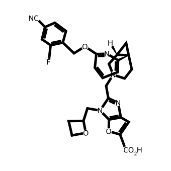 N#Cc1ccc(COc2cccc([C@@]34CCN(Cc5nc6cc(C(=O)O)oc6n5CC5CCO5)C[C@@H]3C4)n2)c(F)c1